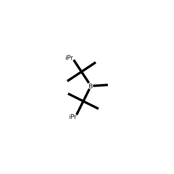 CB(C(C)(C)C(C)C)C(C)(C)C(C)C